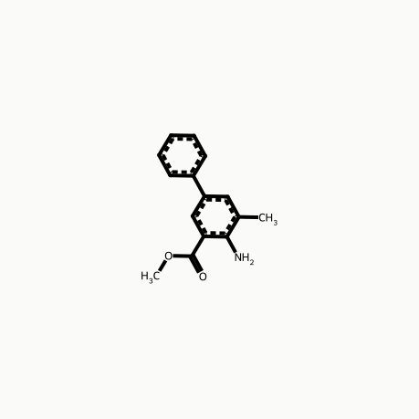 COC(=O)c1cc(-c2ccccc2)cc(C)c1N